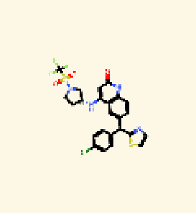 O=c1cc(N[C@@H]2CCN(S(=O)(=O)C(F)(F)F)C2)c2cc(C(c3ccc(Cl)cc3)c3nccs3)ccc2[nH]1